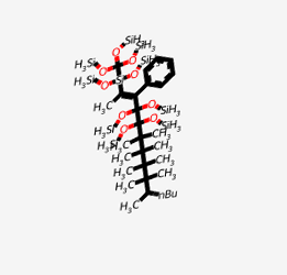 CCCCC(C)C(C)(C)C(C)(C)C(C)(C)C(C)(C)C(O[SiH3])(O[SiH3])C(O[SiH3])(O[SiH3])C(=C(C)[Si](O[SiH3])(O[SiH3])C(O[SiH3])(O[SiH3])O[SiH3])c1ccccc1